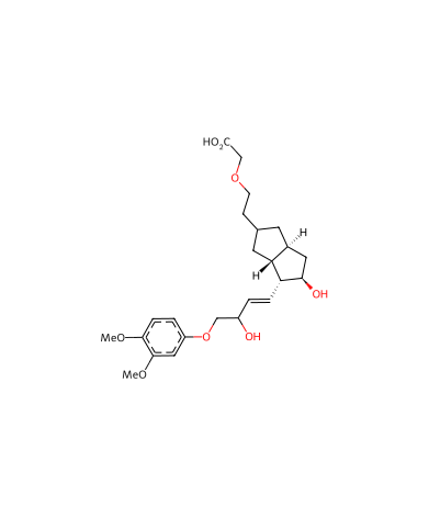 COc1ccc(OCC(O)C=C[C@@H]2[C@@H]3CC(CCOCC(=O)O)C[C@H]3C[C@H]2O)cc1OC